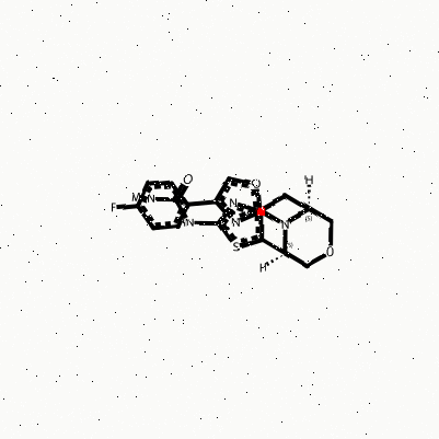 CNC(=O)Nc1nc2c(s1)[C@@H]1COC[C@H](C2)N1c1nc(-c2ccc(F)cc2)co1